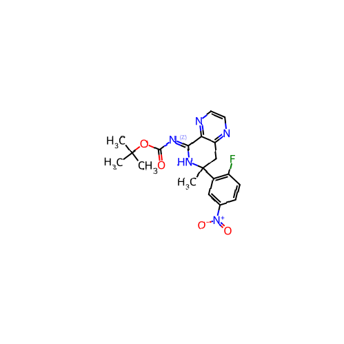 CC(C)(C)OC(=O)/N=C1\NC(C)(c2cc([N+](=O)[O-])ccc2F)Cc2nccnc21